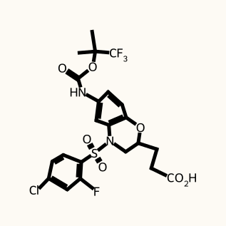 CC(C)(OC(=O)Nc1ccc2c(c1)N(S(=O)(=O)c1ccc(Cl)cc1F)CC(CCC(=O)O)O2)C(F)(F)F